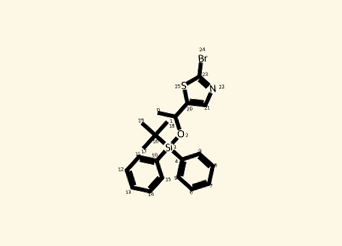 CC(O[Si](c1ccccc1)(c1ccccc1)C(C)(C)C)c1cnc(Br)s1